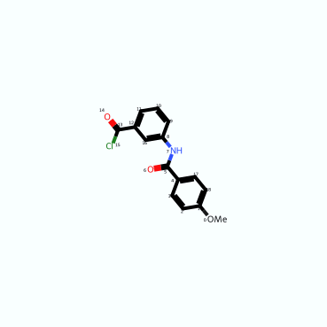 COc1ccc(C(=O)Nc2cccc(C(=O)Cl)c2)cc1